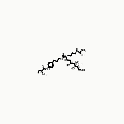 CC[C@H](N)C(=O)Nc1ccc(CCCNC(=O)[C@H](CCCCNC(=N)N)NC[C@H](O)[C@@H](O)[C@H](O)[C@H](O)CO)cc1